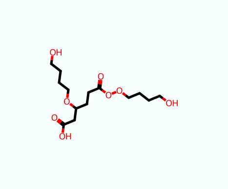 O=C(O)CC(CCC(=O)OOCCCCO)OCCCCO